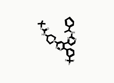 CC(Nc1nccc(-c2cc(N3CCC(NC(=O)OC(C)(C)C)CC3)nnc2-c2cccc(C(F)(F)F)c2)n1)c1ccccc1